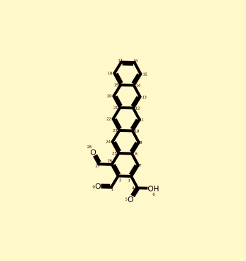 O=Cc1c(C(=O)O)cc2cc3cc4cc5ccccc5cc4cc3cc2c1C=O